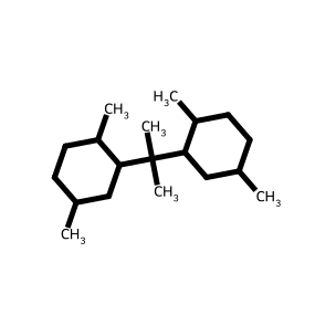 CC1CCC(C)C(C(C)(C)C2CC(C)CCC2C)C1